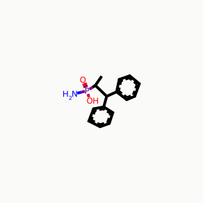 CC(C(c1ccccc1)c1ccccc1)P(N)(=O)O